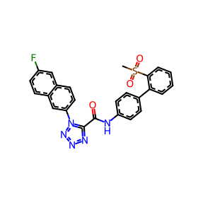 CS(=O)(=O)c1ccccc1-c1ccc(NC(=O)c2nnnn2-c2ccc3cc(F)ccc3c2)cc1